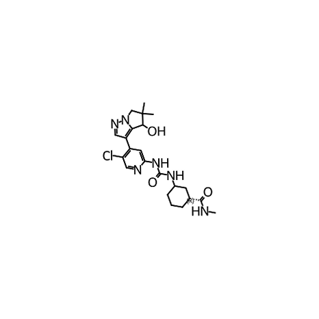 CNC(=O)[C@@H]1CCCC(NC(=O)Nc2cc(-c3cnn4c3C(O)C(C)(C)C4)c(Cl)cn2)C1